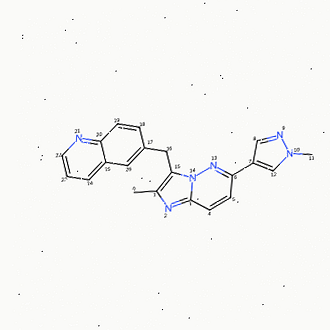 Cc1nc2ccc(-c3cnn(C)c3)nn2c1Cc1ccc2ncccc2c1